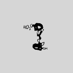 O=C(O)C12CC3CC(C1)C1(OCC(COC(=O)C45CC6CC(CC(O)(C6)C4)C5)CO1)C(C3)C2